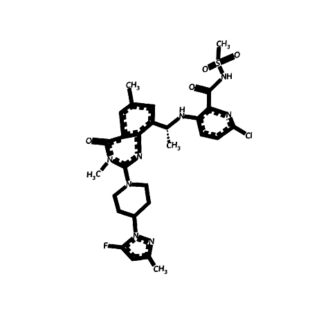 Cc1cc([C@@H](C)Nc2ccc(Cl)nc2C(=O)NS(C)(=O)=O)c2nc(N3CCC(n4nc(C)cc4F)CC3)n(C)c(=O)c2c1